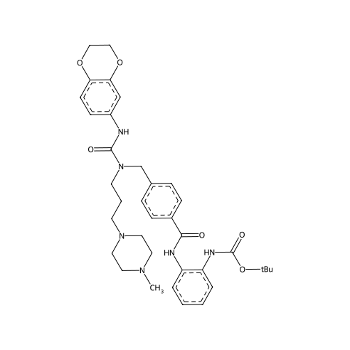 CN1CCN(CCCN(Cc2ccc(C(=O)Nc3ccccc3NC(=O)OC(C)(C)C)cc2)C(=O)Nc2ccc3c(c2)OCCO3)CC1